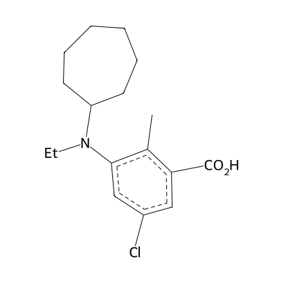 CCN(c1cc(Cl)cc(C(=O)O)c1C)C1CCCCCC1